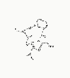 CC(C)c1nc(CO)n(CC(=O)c2ccccc2)c1Sc1cc(F)cc(F)c1